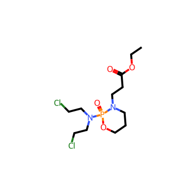 CCOC(=O)CCN1CCCOP1(=O)N(CCCl)CCCl